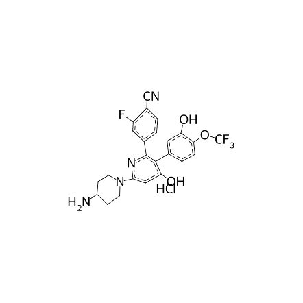 Cl.N#Cc1ccc(-c2nc(N3CCC(N)CC3)cc(O)c2-c2ccc(OC(F)(F)F)c(O)c2)cc1F